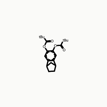 CC(C)(C)C(=O)Oc1cc2c(cc1OC(=O)C(C)(C)C)C1CCC2C1